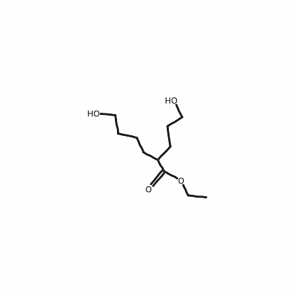 CCOC(=O)C(CCCO)CCCCO